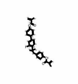 C=C(C)C(=O)Oc1ccc(CC(C)(C)c2ccc(-c3ccc(OC(=O)C(=C)C)cc3)cc2F)cc1